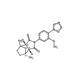 COc1cc(N2C(=O)[C@@H]3[C@H](C2=O)[C@@]2(C)CCC3(C)O2)ccc1-c1cnco1